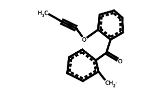 [CH2]c1ccccc1C(=O)c1ccccc1OC#CC